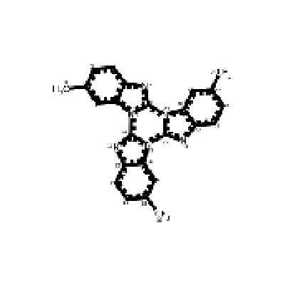 Cc1ccc2nc3n(c2c1)c1nc2ccc(C(F)(F)F)cc2n1c1nc2ccc(C(F)(F)F)cc2n31